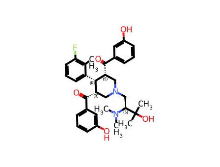 Cc1c(F)cccc1[C@H]1[C@@H](C(=O)c2cccc(O)c2)CN(C[C@H](N(C)C)C(C)(C)O)C[C@H]1C(=O)c1cccc(O)c1